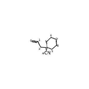 C=CCC1(C#N)CC[CH]CC1